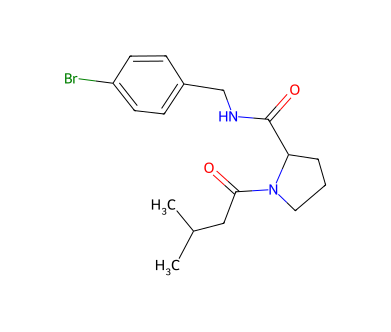 CC(C)CC(=O)N1CCCC1C(=O)NCc1ccc(Br)cc1